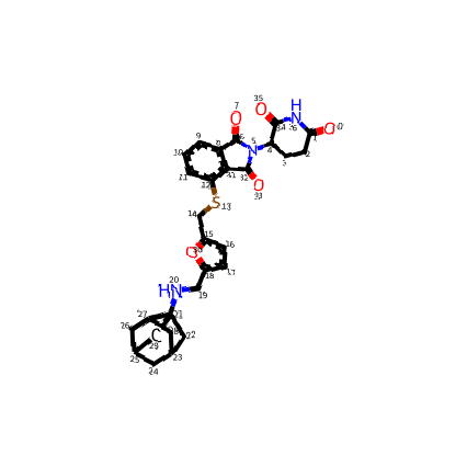 O=C1CCC(N2C(=O)c3cccc(SCc4ccc(CNC56CC7CC(CC5C7)C6)o4)c3C2=O)C(=O)N1